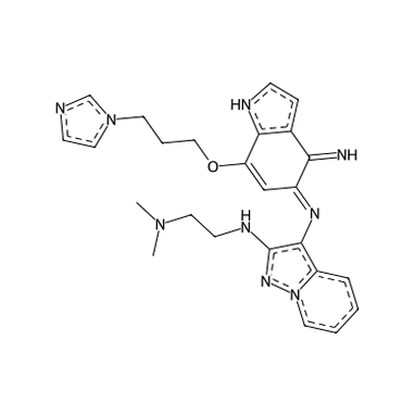 CN(C)CCNc1nn2ccccc2c1N=C1C=C(OCCCn2ccnc2)c2[nH]ccc2C1=N